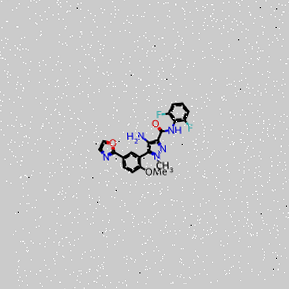 COc1ccc(-c2ncco2)cc1-c1c(N)c(C(=O)Nc2c(F)cccc2F)nn1C